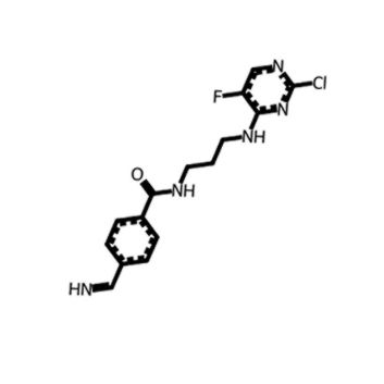 N=Cc1ccc(C(=O)NCCCNc2nc(Cl)ncc2F)cc1